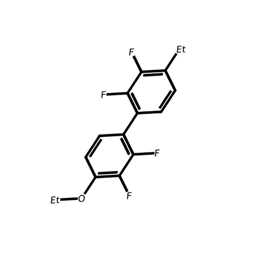 CCOc1ccc(-c2ccc(CC)c(F)c2F)c(F)c1F